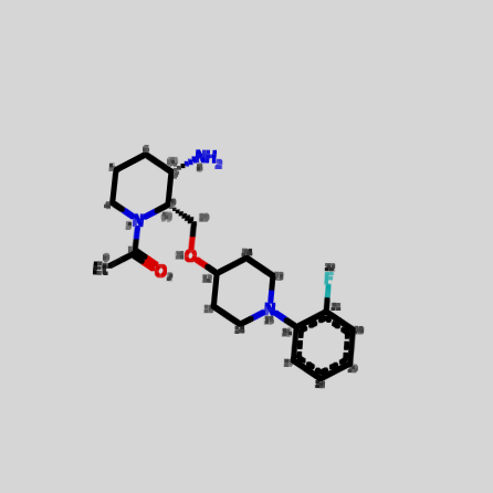 CCC(=O)N1CCC[C@H](N)[C@@H]1COC1CCN(c2ccccc2F)CC1